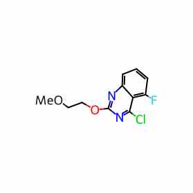 COCCOc1nc(Cl)c2c(F)cccc2n1